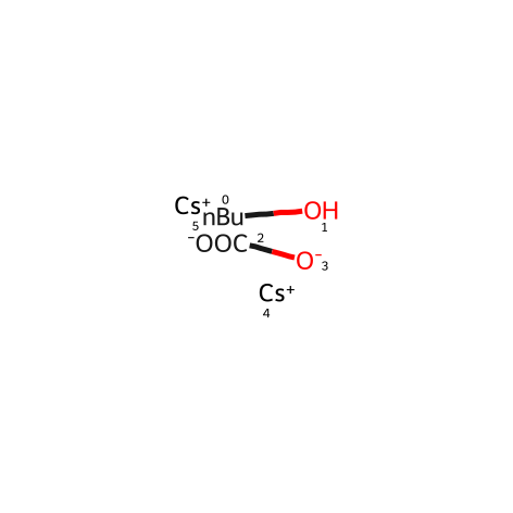 CCCCO.O=C([O-])[O-].[Cs+].[Cs+]